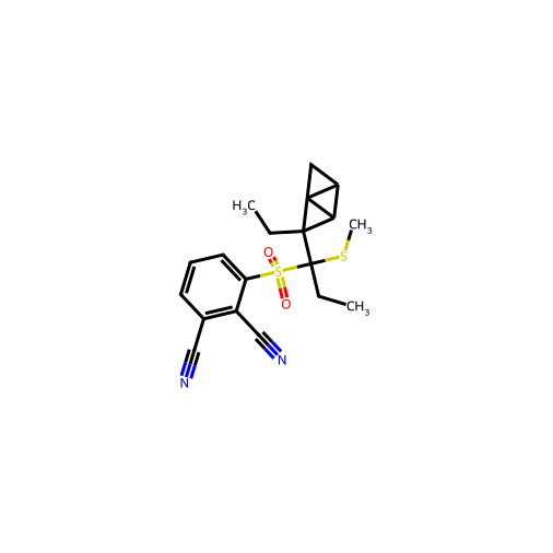 CCC1(C(CC)(SC)S(=O)(=O)c2cccc(C#N)c2C#N)C2C3CC321